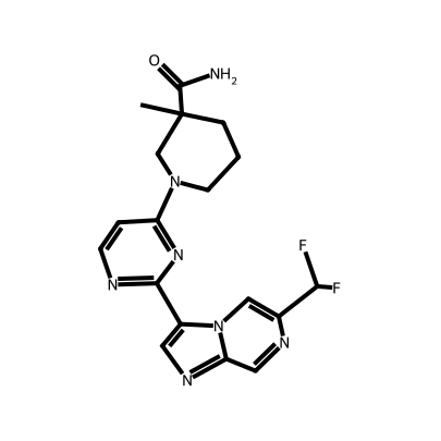 CC1(C(N)=O)CCCN(c2ccnc(-c3cnc4cnc(C(F)F)cn34)n2)C1